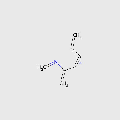 C=C/C=C\C(=C)N=C